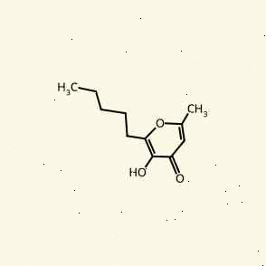 CCCCCc1oc(C)cc(=O)c1O